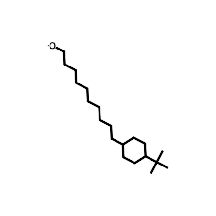 CC(C)(C)C1CCC(CCCCCCCCCC[O])CC1